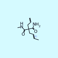 C=CCC(C/C=C/C)(C(N)=O)C(=O)NC